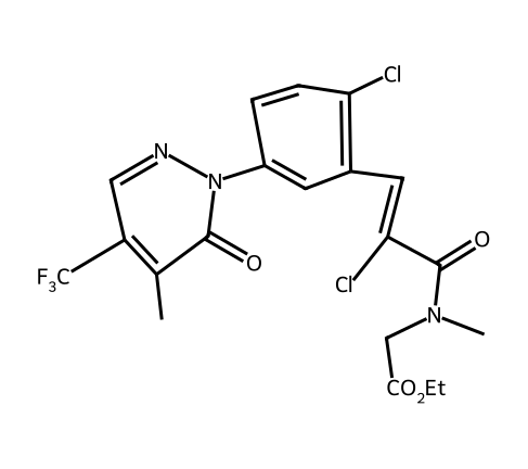 CCOC(=O)CN(C)C(=O)C(Cl)=Cc1cc(-n2ncc(C(F)(F)F)c(C)c2=O)ccc1Cl